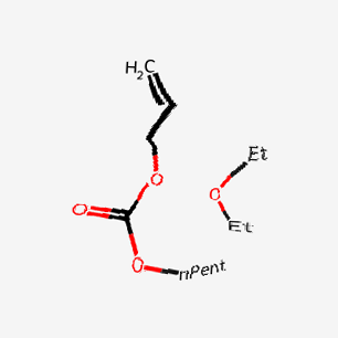 C=CCOC(=O)OCCCCC.CCOCC